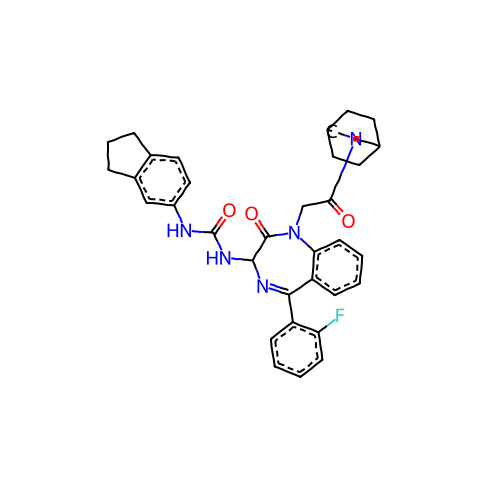 O=C(Nc1ccc2c(c1)CCC2)NC1N=C(c2ccccc2F)c2ccccc2N(CC(=O)N2CC3CCC(CC3)C2)C1=O